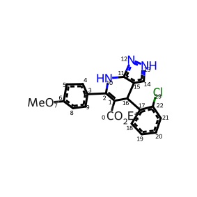 CCOC(=O)C1=C(c2ccc(OC)cc2)Nc2n[nH]cc2C1c1ccccc1Cl